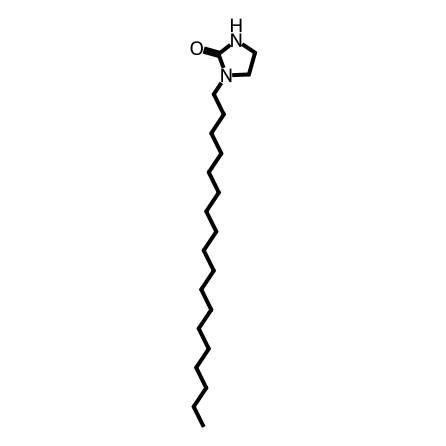 CCCCCCCCCCCCCCCCCCN1CCNC1=O